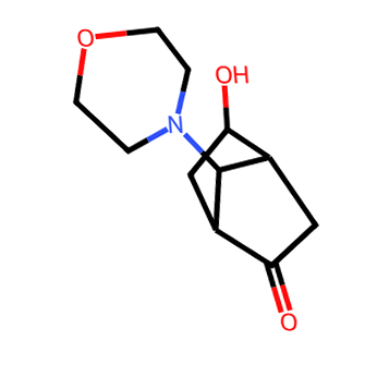 O=C1CC2C(O)CC1C2N1CCOCC1